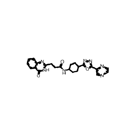 O=C(CCc1nc2ccccc2c(=O)[nH]1)NC1CCC(c2nnc(-c3cnccn3)o2)CC1